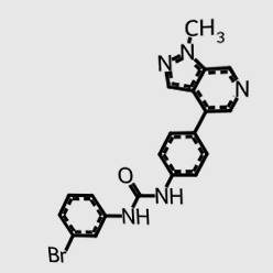 Cn1ncc2c(-c3ccc(NC(=O)Nc4cccc(Br)c4)cc3)cncc21